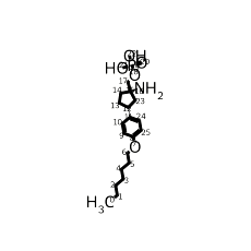 CCCCCCCOc1ccc([C@@H]2CC[C@](N)(COP(=O)(O)O)C2)cc1